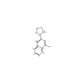 Cc1cc(C2CCCO2)nc2ccccc12